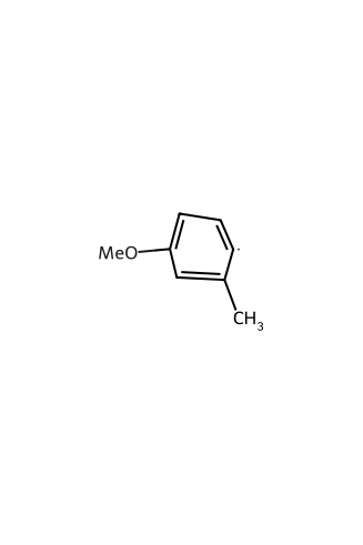 COc1cc[c]c(C)c1